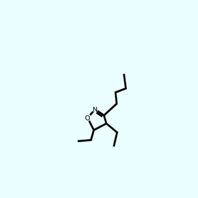 CCCCC1=NOC(CC)C1CC